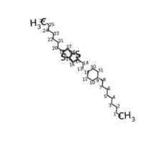 CCCCCCCCC[C@H]1CC[C@H](CCc2cc3sc(CCCCCCC)cc3s2)CC1